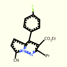 CCOC(=O)c1c(C(C)C)nn2c(C#N)ccc2c1-c1ccc(F)cc1